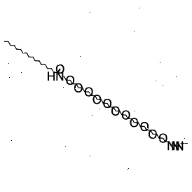 CCCCCCCCCCCCCCCCCC(=O)NCCOCCOCCOCCOCCOCCOCCOCCOCCOCCOCCOCCN=[N+]=[N-]